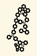 c1ccc(-c2ccccc2-c2ccc(N(c3ccccc3)c3cccc(-c4ccc5c(c4)-n4c6cc(-c7ccc(-c8ccc(-c9ccc(N(c%10ccccc%10)c%10ccc(-c%11cc%12c%13c(c%11)c%11ccccc%11n%13-c%11ccccc%11C%12%11c%12ccccc%12-c%12ccccc%12%11)cc%10)cc9)cc8)cc7)ccc6c6cccc(c64)C54c5ccccc5-c5ccccc54)c3)cc2)cc1